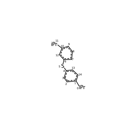 CC(C)c1ccc(Sc2cccc(C(C)C)c2)cc1